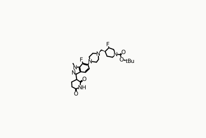 Cn1nc(C2CCC(=O)NC2=O)c2ccc(N3CCN(C[C@@H]4CCN(C(=O)OC(C)(C)C)C[C@@H]4F)CC3)c(F)c21